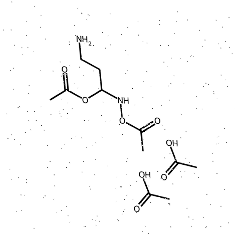 CC(=O)O.CC(=O)O.CC(=O)ONC(CCN)OC(C)=O